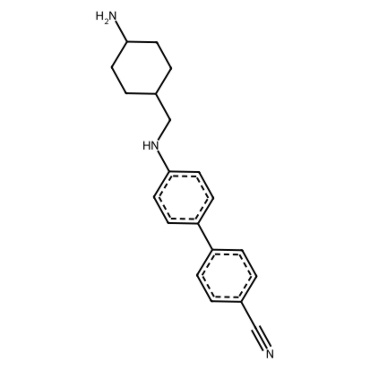 N#Cc1ccc(-c2ccc(NCC3CCC(N)CC3)cc2)cc1